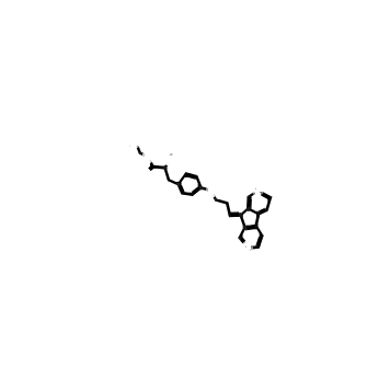 CCOC(=O)C(Cc1ccc(OCCC=C2c3cnccc3-c3ccncc32)cc1)OC